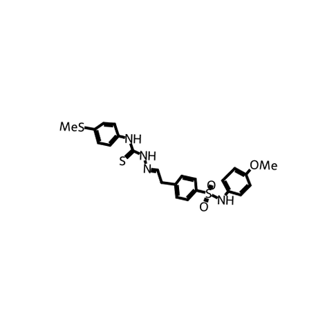 COc1ccc(NS(=O)(=O)c2ccc(CC=NNC(=S)Nc3ccc(SC)cc3)cc2)cc1